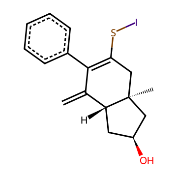 C=C1C(c2ccccc2)=C(SI)C[C@@]2(C)C[C@@H](O)C[C@H]12